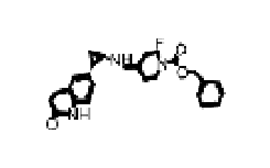 O=C1CCc2cc([C@@H]3C[C@H]3NCC3CCN(C(=O)OCc4ccccc4)C(F)C3)ccc2N1